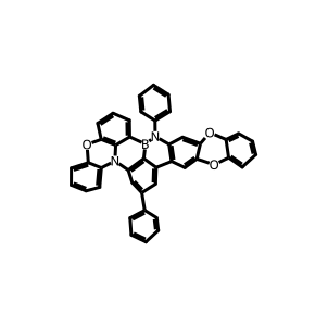 c1ccc(-c2cc3c4c(c2)N2c5ccccc5Oc5cccc(c52)B4N(c2ccccc2)c2cc4c(cc2-3)Oc2ccccc2O4)cc1